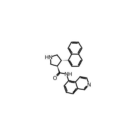 O=C(Nc1cccc2cnccc12)[C@H]1CNC[C@@H]1c1cccc2ccccc12